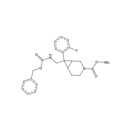 CC(C)(C)OC(=O)N1CCC2C(C1)C2(CNC(=O)OCc1ccccc1)c1ccccc1F